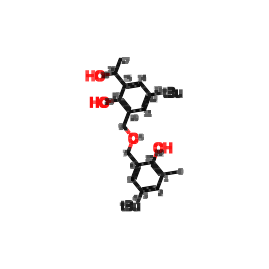 Cc1cc(C(C)(C)C)cc(COCc2cc(C(C)(C)C)cc(C(C)O)c2O)c1O